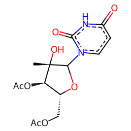 CC(=O)OC[C@H]1OC(n2ccc(=O)[nH]c2=O)[C@@](C)(O)[C@@H]1OC(C)=O